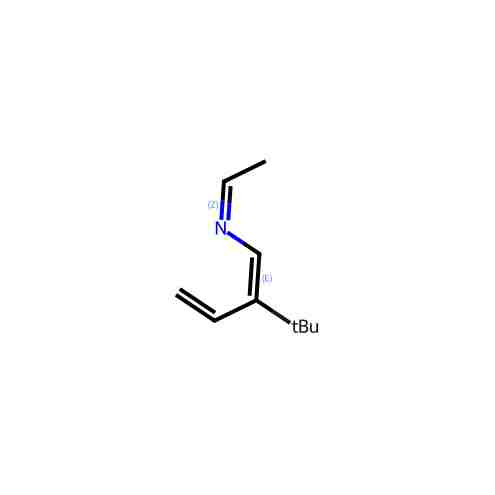 C=C/C(=C\N=C/C)C(C)(C)C